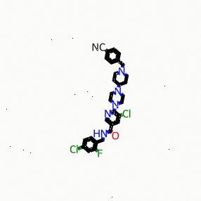 N#Cc1ccc(CN2CCC(N3CCN(c4ncc(C(=O)NCc5ccc(Cl)cc5F)cc4Cl)CC3)CC2)cc1